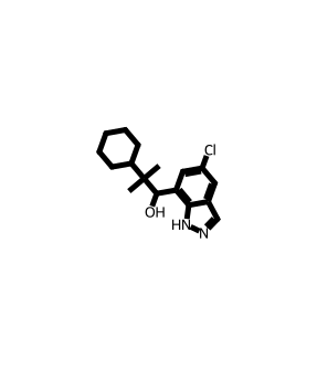 CC(C)(C1CCCCC1)C(O)c1cc(Cl)cc2cn[nH]c12